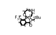 CC(C)(C)COC(=O)c1cccc(C(F)(F)F)c1B1OCCNCCO1